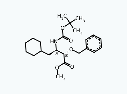 COC(=O)[C@@H](OCc1ccccc1)[C@@H](CC1CCCCC1)NC(=O)OC(C)(C)C